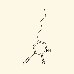 CCCCCc1c[nH]c(=O)c(C#N)c1